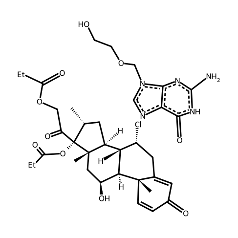 CCC(=O)OCC(=O)[C@@]1(OC(=O)CC)[C@H](C)C[C@H]2[C@H]3[C@H]([C@@H](O)C[C@@]21C)[C@@]1(C)C=CC(=O)C=C1C[C@H]3Cl.Nc1nc2c(ncn2COCCO)c(=O)[nH]1